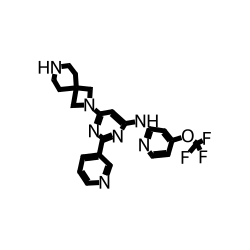 FC(F)(F)Oc1ccnc(Nc2cc(N3CC4(CCNCC4)C3)nc(-c3cccnc3)n2)c1